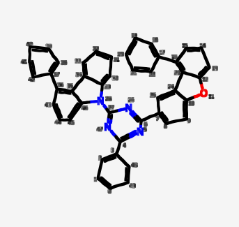 c1ccc(-c2nc(-c3ccc4oc5cccc(-c6ccccc6)c5c4c3)nc(-n3c4ccccc4c4c(-c5ccccc5)cccc43)n2)cc1